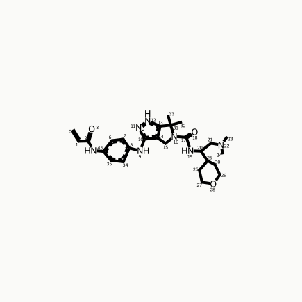 C=CC(=O)Nc1ccc(Nc2n[nH]c3c2CN(C(=O)NC(CN(C)C)C2CCOCC2)C3(C)C)cc1